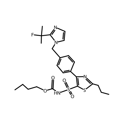 CCCCOC(=O)NS(=O)(=O)c1sc(CCC)nc1-c1ccc(Cn2ccnc2C(C)(C)F)cc1